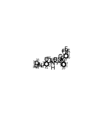 O=C(C[C@@H](NS(=O)(=O)c1cccc(C(F)(F)F)c1)c1ccccc1)N[C@@H]1CCOc2cc(CN3C4CCC5CCC543)ccc21